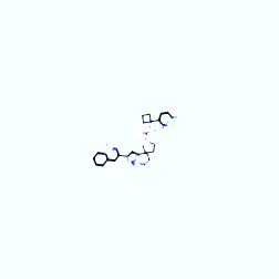 O=C(NC1(c2ccc(Cl)nc2)CCC1)N1CCC2(CCn3nc(-c4cnc5ccccc5c4)cc32)C1